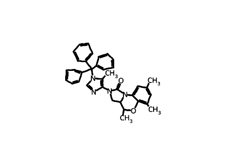 Cc1cc(C)c2c(c1)N1C(=O)N(c3ncn(C(c4ccccc4)(c4ccccc4)c4ccccc4)c3C)CC1C(C)O2